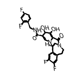 O=C(NCc1ccc(F)cc1F)C1=CN2C(=C(O)C1O)C(=O)N1CCc3cc(F)c(F)cc3[C@H]2C1